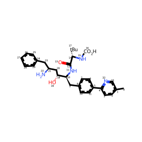 Cc1ccc(-c2ccc(C[C@H](NC(=O)[C@@H](NC(=O)O)C(C)(C)C)[C@H](O)C[C@@H](N)Cc3ccccc3)cc2)nc1